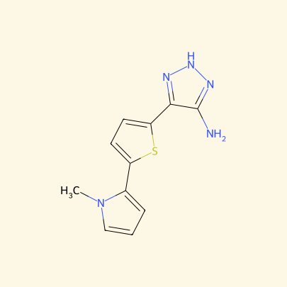 Cn1cccc1-c1ccc(-c2n[nH]nc2N)s1